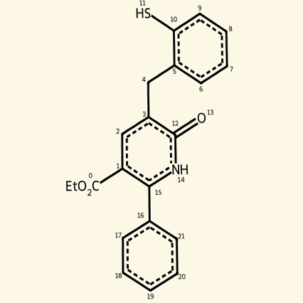 CCOC(=O)c1cc(Cc2ccccc2S)c(=O)[nH]c1-c1ccccc1